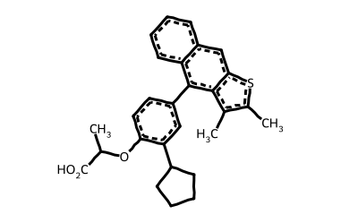 Cc1sc2cc3ccccc3c(-c3ccc(OC(C)C(=O)O)c(C4CCCC4)c3)c2c1C